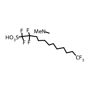 CNC.O=S(=O)(O)C(F)(F)C(F)(F)CCCCCCCCCC(F)(F)F